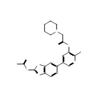 CC(=O)Nc1nc2ccc(-c3cnc(C)c(NC(=O)CN4CCCCC4)c3)cc2s1